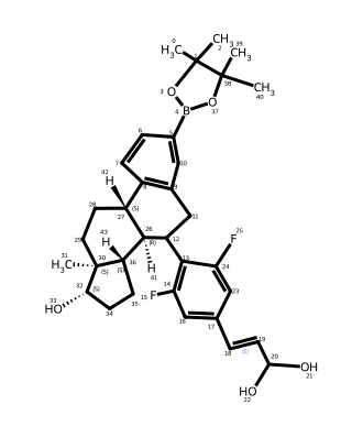 CC1(C)OB(c2ccc3c(c2)CC(c2c(F)cc(/C=C/C(O)O)cc2F)[C@@H]2[C@@H]3CC[C@]3(C)[C@@H](O)CC[C@@H]23)OC1(C)C